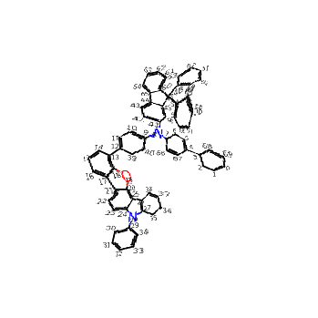 C1=CCC(C2=CCC(N(C3=CC=C(c4cccc5c4oc4c5ccc5c4c4c(n5-c5ccccc5)CCC=C4)CC3)c3ccc4c(c3)C(c3ccccc3)(c3ccccc3)c3ccccc3-4)C=C2)C=C1